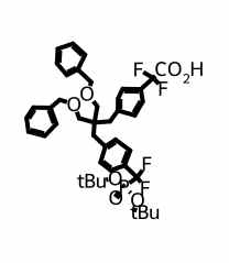 CC(C)(C)OP(=O)(OC(C)(C)C)C(F)(F)c1ccc(CC(COCc2ccccc2)(COCc2ccccc2)Cc2ccc(C(F)(F)C(=O)O)cc2)cc1